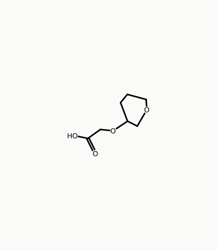 O=C(O)COC1CCCOC1